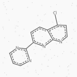 Clc1ccnc2nc(-c3ncccn3)ccc12